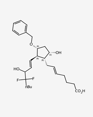 CCCCC(F)(F)C(O)C=C[C@@H]1[C@@H](CC=CCCCC(=O)O)[C@@H](O)C[C@H]1OCc1ccccc1